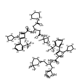 CC1(NC(=O)CC(CC(=O)N2CCCCC2)NC(=O)c2cc(-c3ccccc3C(F)(F)F)n(C3CCCC3)n2)COC1.O=C(NC(CCN1CCCC(F)(F)C1)Cc1nnn[nH]1)c1cc(-c2ccccc2C(F)(F)F)n(C2CCCC2)n1